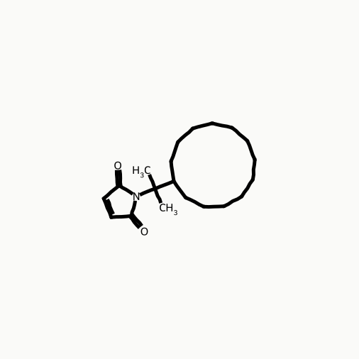 CC(C)(C1CCCCCCCCCCCC1)N1C(=O)C=CC1=O